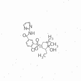 CCC1C[C@@H](S(=O)(=O)c2cc(C(=O)Nc3ncccn3)ccc2Cl)C[C@H](C)[C@]1(C)O